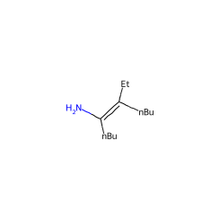 CCCCC(N)=C(CC)CCCC